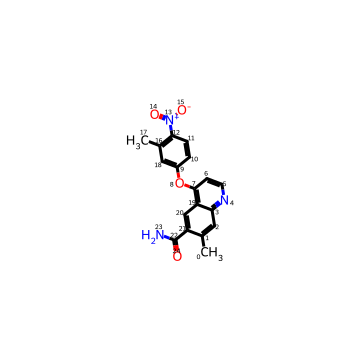 Cc1cc2nccc(Oc3ccc([N+](=O)[O-])c(C)c3)c2cc1C(N)=O